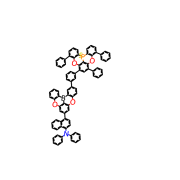 S=P12c3cccc(-c4ccccc4)c3Oc3c(-c4ccccc4)cc(-c4cccc(-c5ccc6c(c5)B5c7ccccc7Oc7cc(-c8ccc(N(c9ccccc9)c9ccccc9)c9ccccc89)cc(c75)O6)c4)c(c31)Oc1c(-c3ccccc3)cccc12